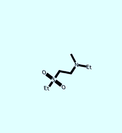 CCN(C)CCS(=O)(=O)CC